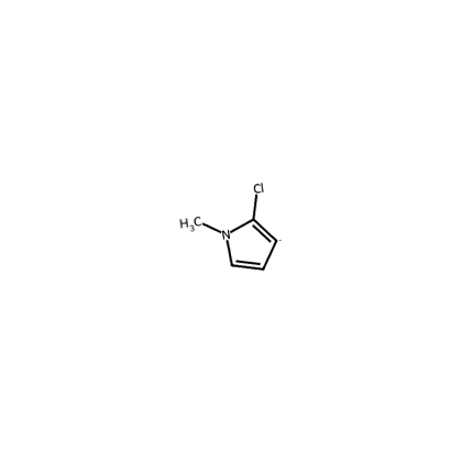 Cn1cc[c]c1Cl